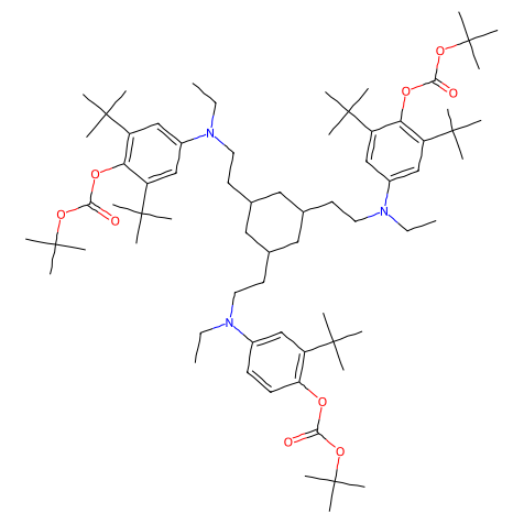 CCN(CCC1CC(CCN(CC)c2cc(C(C)(C)C)c(OC(=O)OC(C)(C)C)c(C(C)(C)C)c2)CC(CCN(CC)c2cc(C(C)(C)C)c(OC(=O)OC(C)(C)C)c(C(C)(C)C)c2)C1)c1ccc(OC(=O)OC(C)(C)C)c(C(C)(C)C)c1